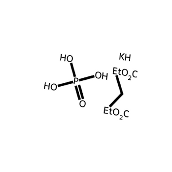 CCOC(=O)CC(=O)OCC.O=P(O)(O)O.[KH]